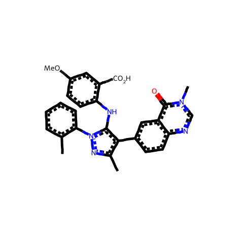 COc1ccc(Nc2c(-c3ccc4ncn(C)c(=O)c4c3)c(C)nn2-c2ccccc2C)c(C(=O)O)c1